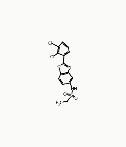 O=S(=O)(CC(F)(F)F)Nc1ccc2oc(-c3cccc(Cl)c3Cl)nc2c1